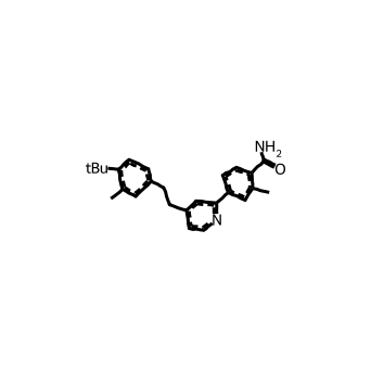 Cc1cc(-c2cc(CCc3ccc(C(C)(C)C)c(C)c3)ccn2)ccc1C(N)=O